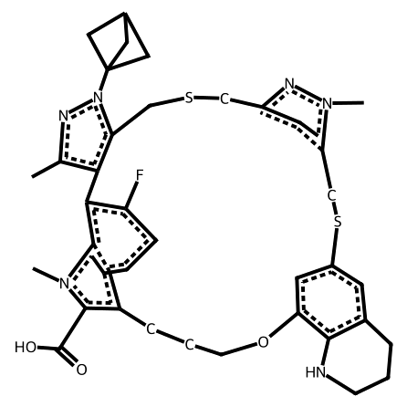 Cc1nn(C23CC(C2)C3)c2c1-c1c(F)ccc3c(c(C(=O)O)n(C)c13)CCCOc1cc(cc3c1NCCC3)SCc1cc(nn1C)CSC2